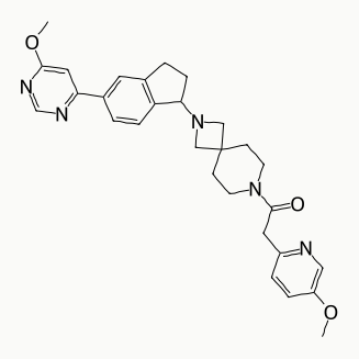 COc1ccc(CC(=O)N2CCC3(CC2)CN(C2CCc4cc(-c5cc(OC)ncn5)ccc42)C3)nc1